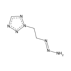 NN=NCCn1ncnn1